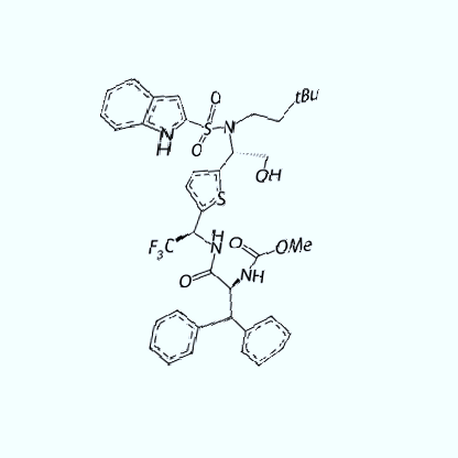 COC(=O)N[C@H](C(=O)N[C@H](c1ccc([C@@H](CO)N(CCC(C)(C)C)S(=O)(=O)c2cc3ccccc3[nH]2)s1)C(F)(F)F)C(c1ccccc1)c1ccccc1